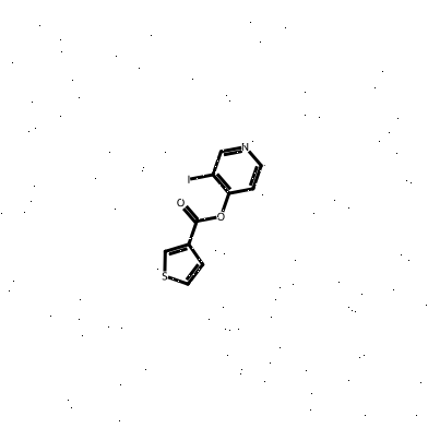 O=C(Oc1c[c]ncc1I)c1ccsc1